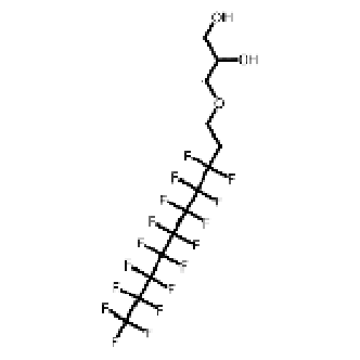 OCC(O)[CH]OCCC(F)(F)C(F)(F)C(F)(F)C(F)(F)C(F)(F)C(F)(F)C(F)(F)C(F)(F)F